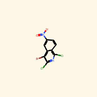 O=[N+]([O-])c1ccc2c(Cl)nc(Cl)c(Br)c2c1